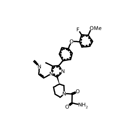 C=N/C=C\n1c([C@@H]2CCCN(C(=O)C(N)=O)C2)nc(-c2ccc(Oc3cccc(OC)c3F)cc2)c1C